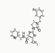 Cc1nc(N2CCN(Cc3cccc(F)c3)C2=O)sc1C(=O)NCc1ccccn1